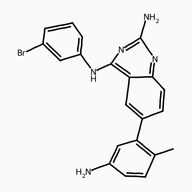 Cc1ccc(N)cc1-c1ccc2nc(N)nc(Nc3cccc(Br)c3)c2c1